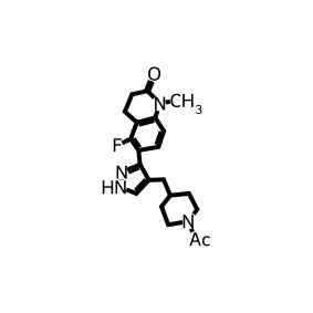 CC(=O)N1CCC(Cc2c[nH]nc2-c2ccc3c(c2F)CCC(=O)N3C)CC1